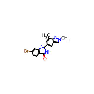 Cc1cc(-c2nc3cc(Br)ccc3c(=O)[nH]2)cc2cn(C)nc12